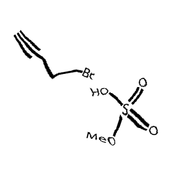 C#CCBr.COS(=O)(=O)O